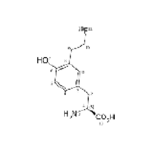 N[C@@H](Cc1ccc(O)c(CC[18F])c1)C(=O)O